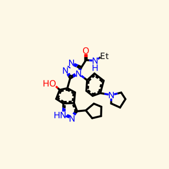 CCNC(=O)c1nnc(-c2cc3c(C4CCCC4)n[nH]c3cc2O)n1-c1ccc(N2CCCC2)cc1